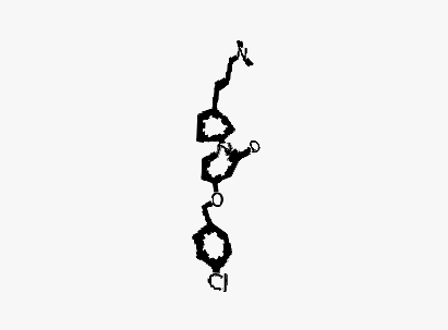 CN(C)CC=Cc1ccc(-n2ccc(OCc3ccc(Cl)cc3)cc2=O)cc1